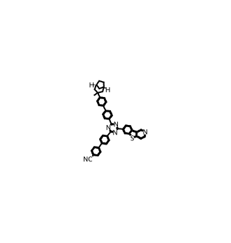 CC1(c2ccc(-c3ccc(-c4nc(-c5ccc(-c6ccc(C#N)cc6)cc5)nc(-c5ccc6c(c5)sc5ccncc56)n4)cc3)cc2)C[C@H]2CC[C@@H](C2)C1